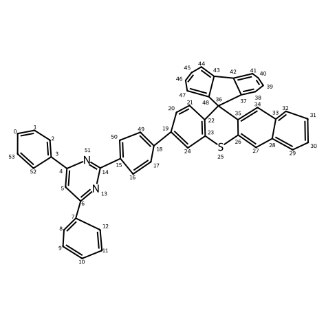 c1ccc(-c2cc(-c3ccccc3)nc(-c3ccc(-c4ccc5c(c4)Sc4cc6ccccc6cc4C54c5ccccc5-c5ccccc54)cc3)n2)cc1